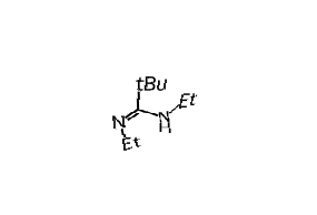 CCN=C(NCC)C(C)(C)C